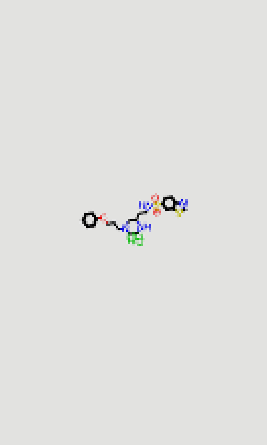 Cl.Cl.O=S(=O)(NCCC1CN(CCCOc2ccccc2)CCN1)c1ccc2ncsc2c1